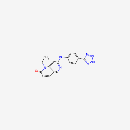 CCn1c(=O)ccc2cnc(Nc3ccc(-c4nn[nH]n4)cc3)cc21